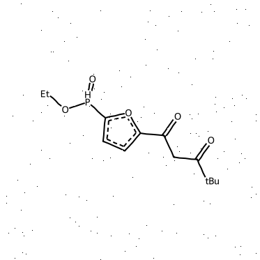 CCO[PH](=O)c1ccc(C(=O)CC(=O)C(C)(C)C)o1